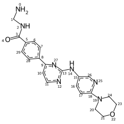 NCNC(=O)c1ccc(-c2ccnc(Nc3ccc(N4CCOCC4)nc3)n2)cc1